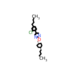 CCCCCc1ccc(-c2cnc(OC[C@H]3CC[C@H](CCCCC)CC3)nc2)c(Cl)c1